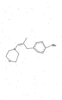 CC(=CN1CCOCC1)Cc1ccc(C(C)(C)C)cc1